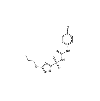 CCCOc1ccc(S(=O)(=O)NC(=O)Nc2ccc(Cl)cc2)s1